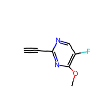 C#Cc1ncc(F)c(OC)n1